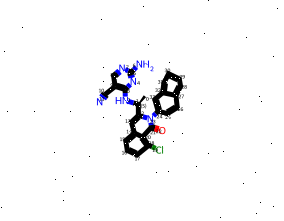 C[C@H](Nc1nc(N)ncc1C#N)c1cc2cccc(Cl)c2c(=O)n1-c1ccc2ccccc2c1